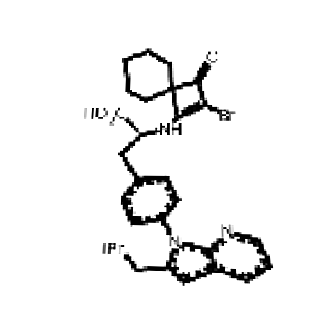 CC(C)Cc1cc2cccnc2n1-c1ccc(C[C@H](NC2=C(Br)C(=O)C23CCCCC3)C(=O)O)cc1